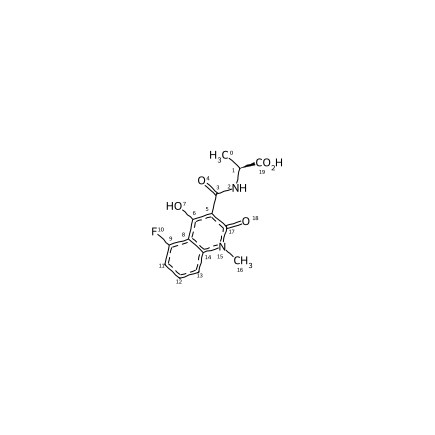 C[C@H](NC(=O)c1c(O)c2c(F)cccc2n(C)c1=O)C(=O)O